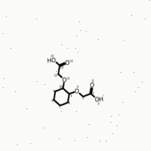 O=C(O)COC1CCCCC1OCC(=O)O